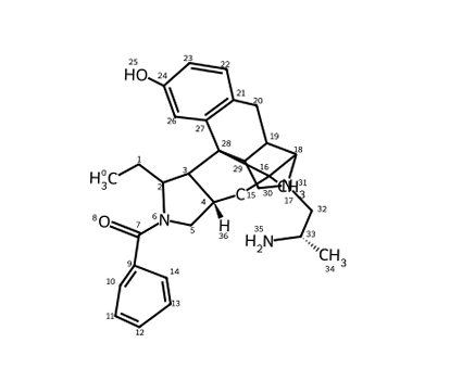 CCC1C2[C@@H](CN1C(=O)c1ccccc1)CC1(C)C3C4Cc5ccc(O)cc5C21C4CN3C[C@H](C)N